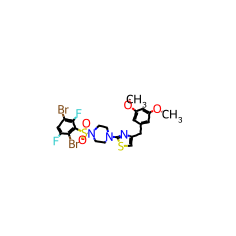 COc1cc(Cc2csc(N3CCN(S(=O)(=O)c4c(F)c(Br)cc(F)c4Br)CC3)n2)cc(OC)c1